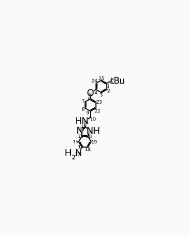 CC(C)(C)c1ccc(Oc2ccc(CNc3nc4cc(N)ccc4[nH]3)cc2)cc1